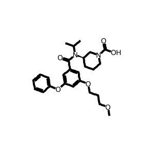 COCCCOc1cc(Oc2ccccc2)cc(C(=O)N(C(C)C)[C@@H]2CCCN(C(=O)O)C2)c1